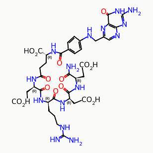 N=C(N)NCCC[C@@H](NC(=O)[C@@H](CC(=O)O)NC(=O)CC[C@@H](NC(=O)c1ccc(NCc2cnc3nc(N)[nH]c(=O)c3n2)cc1)C(=O)O)C(=O)N[C@H](CC(=O)O)C(=O)N[C@H](CC(=O)O)C(N)=O